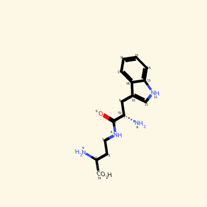 NC(CCNC(=O)[C@@H](N)Cc1c[nH]c2ccccc12)C(=O)O